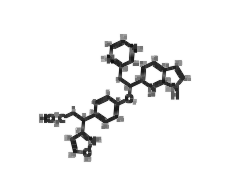 O=C(O)CC(c1ccc(OC(Cc2cnccn2)c2ccc3cc[nH]c3n2)cc1)c1ccon1